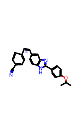 CC(C)Oc1ccc(-c2nc3cc(/C=C\c4ccc(C#N)cc4)ccc3[nH]2)cc1